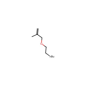 C=C(C)CO[CH]CCCCC